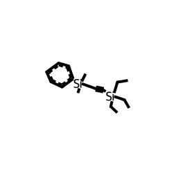 CC[Si](C#C[Si](C)(C)c1ccccc1)(CC)CC